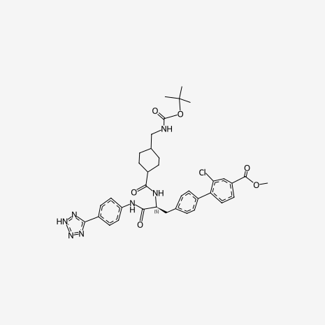 COC(=O)c1ccc(-c2ccc(C[C@H](NC(=O)C3CCC(CNC(=O)OC(C)(C)C)CC3)C(=O)Nc3ccc(-c4nn[nH]n4)cc3)cc2)c(Cl)c1